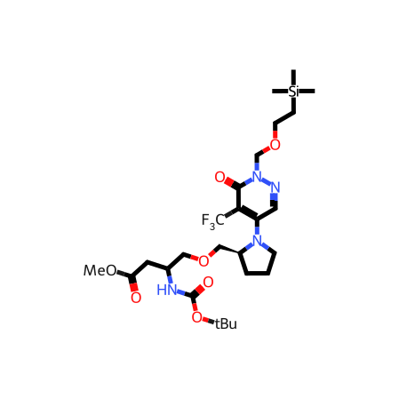 COC(=O)CC(COC[C@@H]1CCCN1c1cnn(COCC[Si](C)(C)C)c(=O)c1C(F)(F)F)NC(=O)OC(C)(C)C